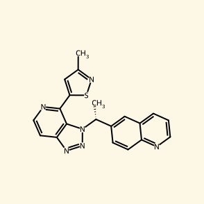 Cc1cc(-c2nccc3nnn([C@H](C)c4ccc5ncccc5c4)c23)sn1